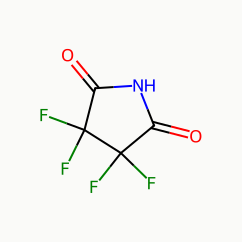 O=C1NC(=O)C(F)(F)C1(F)F